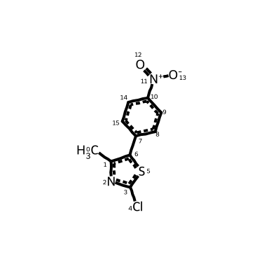 Cc1nc(Cl)sc1-c1ccc([N+](=O)[O-])cc1